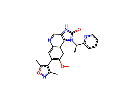 COC1=C(c2c(C)noc2C)C=C2N=Cc3[nH]c(=O)n([C@H](C)c4ccccn4)c3C2C1